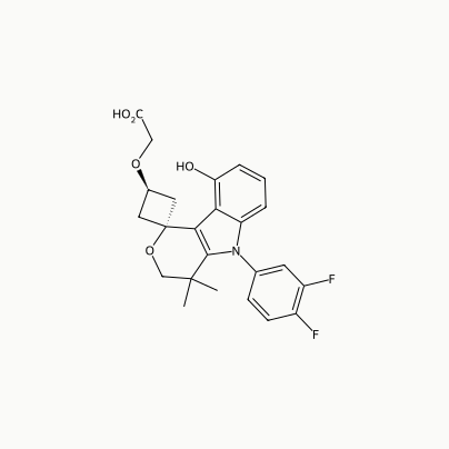 CC1(C)CO[C@]2(C[C@H](OCC(=O)O)C2)c2c1n(-c1ccc(F)c(F)c1)c1cccc(O)c12